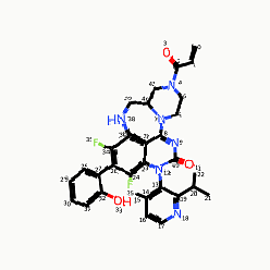 C=CC(=O)N1CCN2c3nc(=O)n(-c4c(C)ccnc4C(C)C)c4c(F)c(-c5ccccc5O)c(F)c(c34)NCC2C1